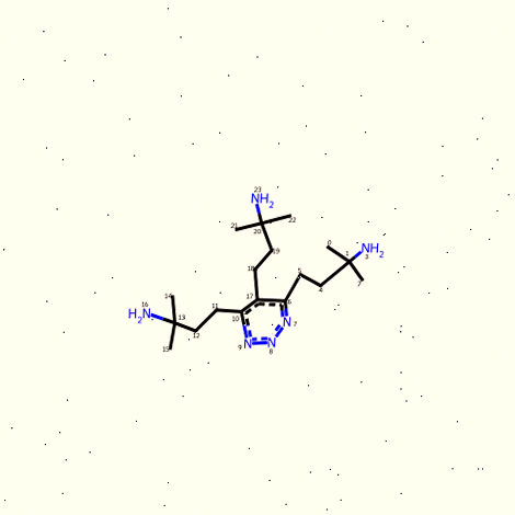 CC(C)(N)CCc1nnnc(CCC(C)(C)N)c1CCC(C)(C)N